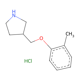 Cc1ccccc1OCC1CCNC1.Cl